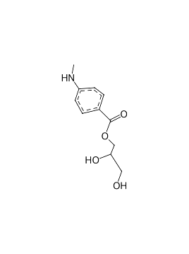 CNc1ccc(C(=O)OCC(O)CO)cc1